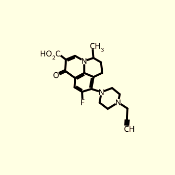 C#CCN1CCN(c2c(F)cc3c(=O)c(C(=O)O)cn4c3c2CCC4C)CC1